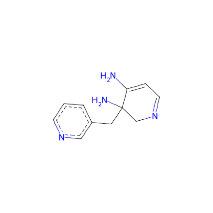 NC1=CC=NCC1(N)Cc1cccnc1